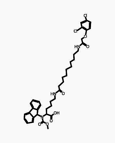 COC(=O)N(C(CCCCNC(=O)CCCCCCCCCCNC(=O)COc1ccc(Cl)cc1Cl)C(=O)O)C1c2ccccc2-c2ccccc21